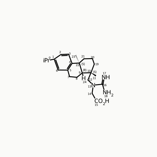 CC(C)c1ccc2c(c1)CC[C@H]1[C@@](C)(CN(CC(=O)O)C(=N)N)CCC[C@]21C